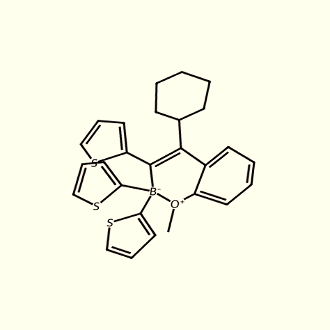 C[O+]1c2ccccc2C(C2CCCCC2)=C(c2cccs2)[B-]1(c1cccs1)c1cccs1